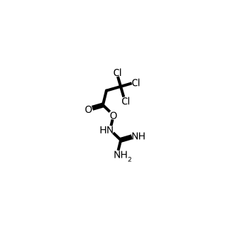 N=C(N)NOC(=O)CC(Cl)(Cl)Cl